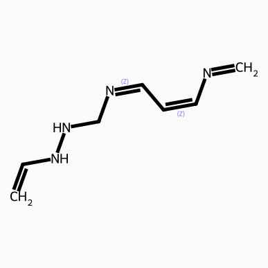 C=CNNC/N=C\C=C/N=C